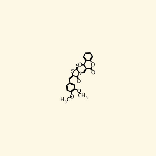 COc1ccc(/C=C2/SC(=S)N(/C=C3/C(=O)Oc4ccccc4C3=O)C2=O)cc1OC